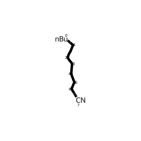 [CH2]CCCCCCCCCC#[N+]